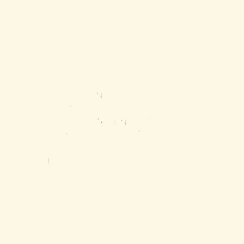 CCCCOc1c(C2OC(C)O2)nc2n(c1=O)CC1CCC2(NC(=O)OCc2ccccc2)CC1